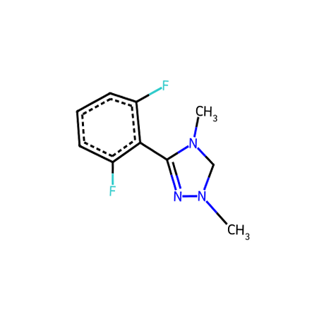 CN1CN(C)C(c2c(F)cccc2F)=N1